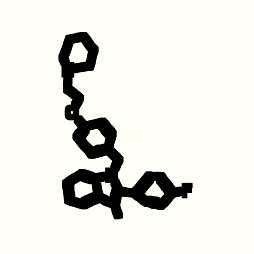 Cc1c(-c2ccc(F)cc2)n(Cc2ccc(OCCN3CCCCC3)cc2)c2ccccc12